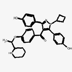 CC(Oc1ccc(C(=O)c2c(-c3ccc(O)cc3)nn(C3CCC3)c2-c2ccc(O)cc2)cc1)C1CCCCN1